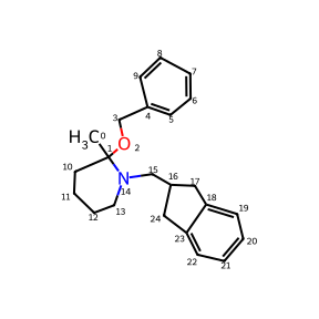 CC1(OCc2ccccc2)CCCCN1CC1Cc2ccccc2C1